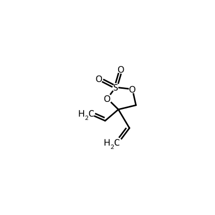 C=CC1(C=C)COS(=O)(=O)O1